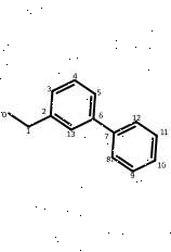 CCc1cccc(-c2[c]cccc2)c1